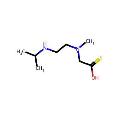 CC(C)NCCN(C)CC(O)=S